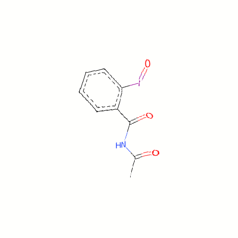 CC(=O)NC(=O)c1ccccc1I=O